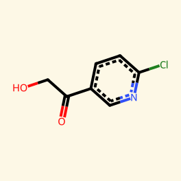 O=C(CO)c1ccc(Cl)nc1